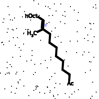 CCCCCCCC/C=C(\C)CCCCCCCC(C)=O